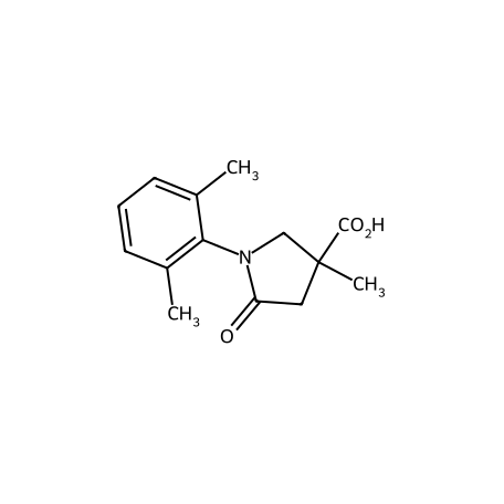 Cc1cccc(C)c1N1CC(C)(C(=O)O)CC1=O